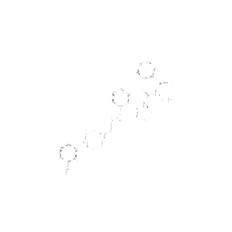 CN(C(=O)c1ccccc1)C(=S)N1CCSC1c1ccccc1OCCN1CCN(c2cccc(F)c2)CC1